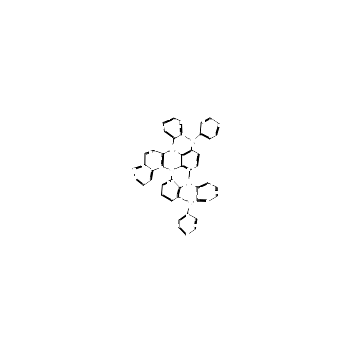 c1ccc(N2c3ccccc3B3c4ccc5c6c4N(c4cccc2c43)c2c(ccc3ccccc23)B6c2ccccc2N5c2ccccc2)cc1